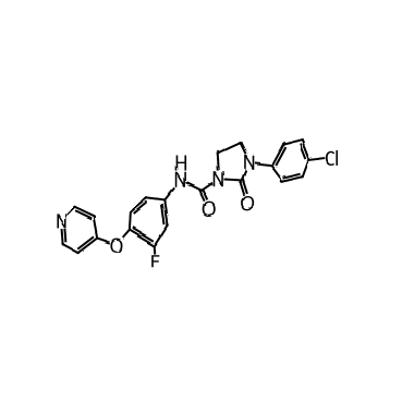 O=C(Nc1ccc(Oc2ccncc2)c(F)c1)N1CCN(c2ccc(Cl)cc2)C1=O